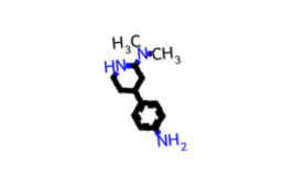 CN(C)C1CC(c2ccc(N)cc2)CCN1